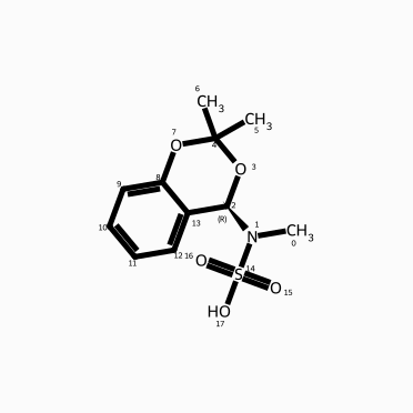 CN([C@@H]1OC(C)(C)Oc2ccccc21)S(=O)(=O)O